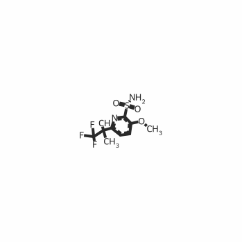 COc1ccc(C(C)(C)C(F)(F)F)nc1S(N)(=O)=O